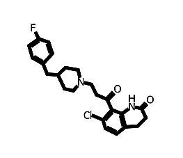 O=C1CCc2ccc(Cl)c(C(=O)CCN3CCC(Cc4ccc(F)cc4)CC3)c2N1